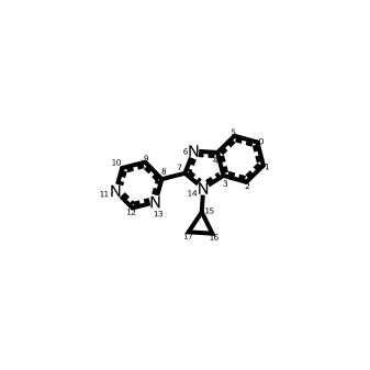 c1ccc2c(c1)nc(-c1ccncn1)n2C1CC1